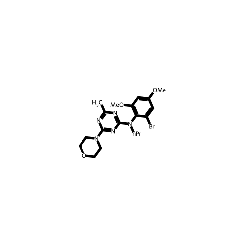 CCCN(c1nc(C)nc(N2CCOCC2)n1)c1c(Br)cc(OC)cc1OC